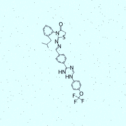 CC(C)Cc1ccccc1N1C(=O)CS/C1=N\N=C\c1ccc(C(=N)/N=C\Nc2ccc(OC(F)(F)F)cc2)cc1